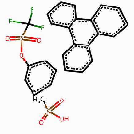 CS(=O)(=O)O.O=S(=O)(Oc1ccccc1)C(F)(F)F.c1ccc2c(c1)c1ccccc1c1ccccc21